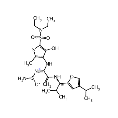 C=C(N[C@@H](c1cc(C(C)C)co1)C(C)C)/C(=N\[S+](N)[O-])Nc1c(C)sc(S(=O)(=O)N(CC)CC)c1O